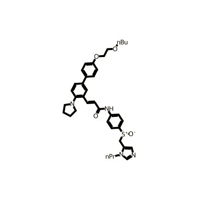 CCCCOCCOc1ccc(-c2ccc(N3CCCC3)c(/C=C/C(=O)Nc3ccc([S@@+]([O-])Cc4cncn4CCC)cc3)c2)cc1